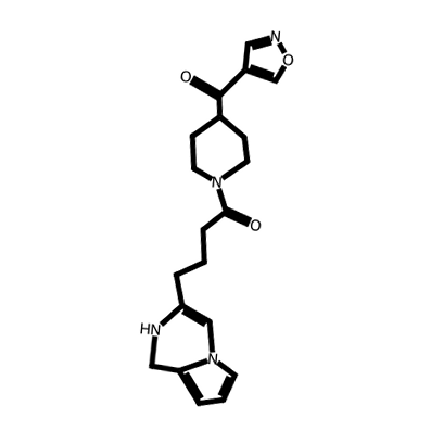 O=C(c1cnoc1)C1CCN(C(=O)CCCC2=Cn3cccc3CN2)CC1